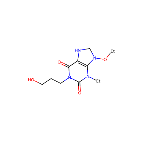 CCON1CNc2c1n(CC)c(=O)n(CCCO)c2=O